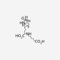 O=C(O)CCCCCNC(CCC[C@@H]1SC[C@@H]2NC(=O)N[C@@H]21)C(=O)O